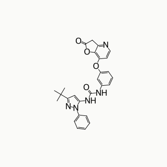 CC(C)(C)c1cc(NC(=O)Nc2cccc(Oc3ccnc4c3OC(=O)C4)c2)n(-c2ccccc2)n1